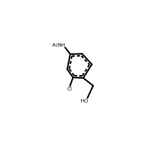 CC(=O)Nc1ccc(CO)c(Cl)c1